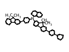 CC1(C)c2ccccc2-c2ccc(-c3ccc(N(c4ccc5c(c4)C(C)(C)c4cc(-c6ccc(-c7ccccc7)cc6)ccc4-5)c4cccc5ccccc45)cc3)cc21